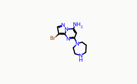 Nc1cc(N2CCCNCC2)nc2c(Br)cnn12